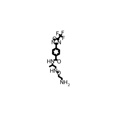 CC(CNOCCN)NC(=O)c1ccc(-c2noc(C(F)(F)F)n2)cc1